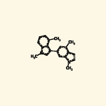 Cc1cc(-c2cn(C)c3cccc(C)c23)cc2c1ccn2C